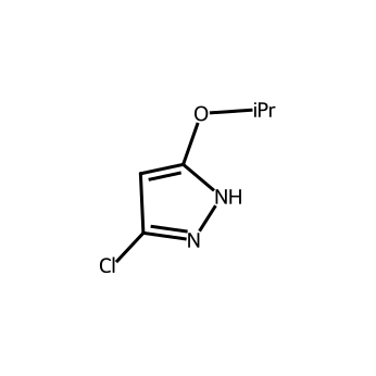 CC(C)Oc1cc(Cl)n[nH]1